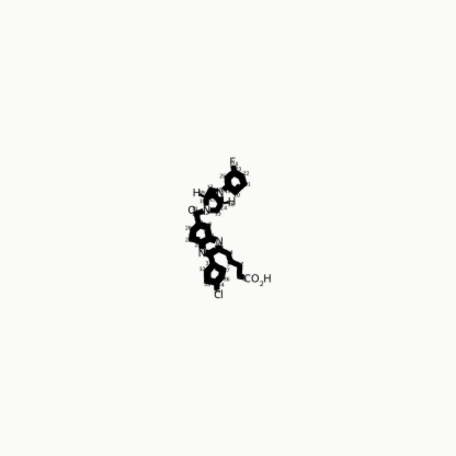 O=C(O)CCCCc1nc2cc(C(=O)N3C[C@@H]4C[C@H]3CN4c3cccc(F)c3)ccc2nc1-c1ccc(Cl)cc1